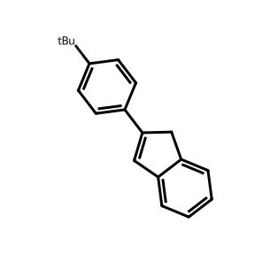 CC(C)(C)c1ccc(C2=Cc3ccccc3C2)cc1